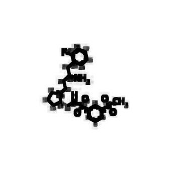 CS(=O)(=O)c1cccc(S(=O)(=O)NC[C@@H]2CCCN2CC[C@H](N)Cc2ccccc2F)c1